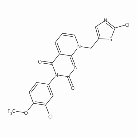 O=c1nc2n(Cc3cnc(Cl)s3)cccc-2c(=O)n1-c1ccc(OC(F)(F)F)c(Cl)c1